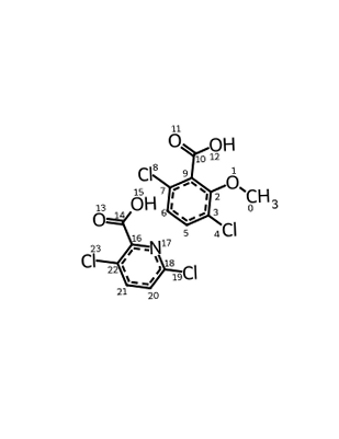 COc1c(Cl)ccc(Cl)c1C(=O)O.O=C(O)c1nc(Cl)ccc1Cl